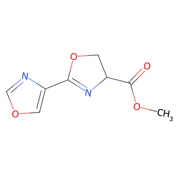 COC(=O)C1COC(c2cocn2)=N1